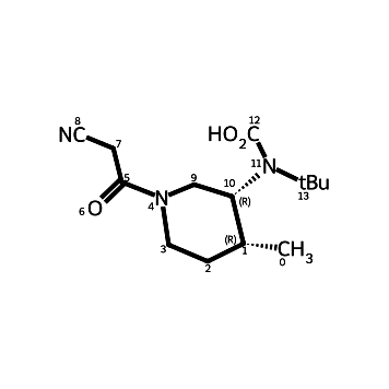 C[C@@H]1CCN(C(=O)CC#N)C[C@@H]1N(C(=O)O)C(C)(C)C